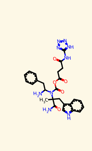 CC(Cc1c[nH]c2ccccc12)(C(N)=O)N(C(=O)OC(=O)CCC(=O)Nc1nnn[nH]1)C(N)Cc1ccccc1